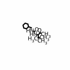 CC(=O)C(NC(=O)NCC1CCCCC1)C(C)(C)C